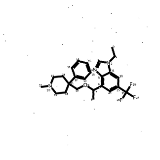 CCn1cnc2c(C(C)OCC3(c4ccccc4)CCN(C)CC3)cc(C(F)(F)F)cc21